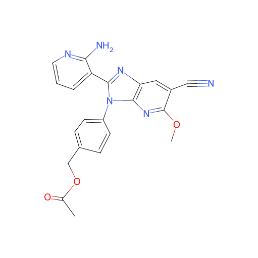 COc1nc2c(cc1C#N)nc(-c1cccnc1N)n2-c1ccc(COC(C)=O)cc1